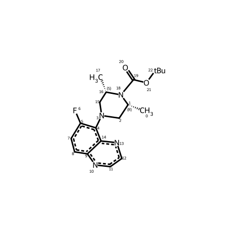 C[C@@H]1CN(c2c(F)ccc3nccnc23)C[C@H](C)N1C(=O)OC(C)(C)C